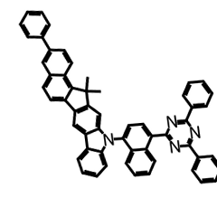 CC1(C)c2cc3c(cc2-c2ccc4cc(-c5ccccc5)ccc4c21)c1ccccc1n3-c1ccc(-c2nc(-c3ccccc3)nc(-c3ccccc3)n2)c2ccccc12